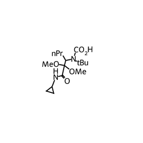 CCCC(N(C(=O)O)C(C)(C)C)C(OC)(OC)C(=O)NC1CC1